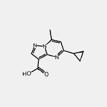 Cc1cc(C2CC2)nc2c(C(=O)O)cnn12